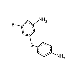 Nc1ccc(Sc2cc(N)cc(Br)c2)cc1